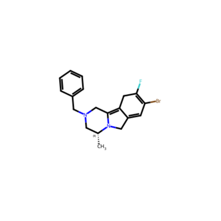 C[C@@H]1CN(Cc2ccccc2)CC2=C3CC(F)=C(Br)C=C3CN21